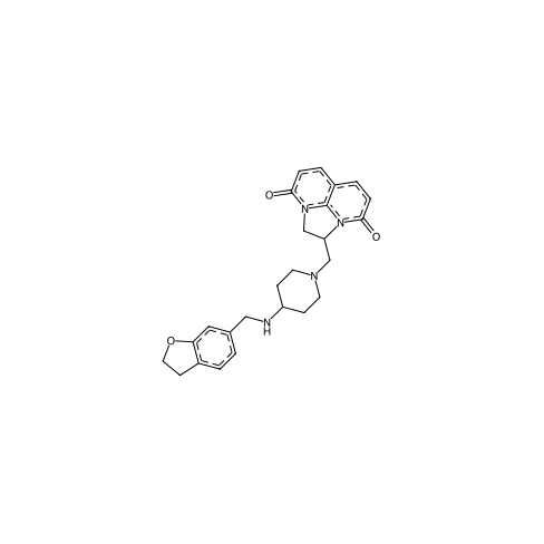 O=c1ccc2ccc(=O)n3c2n1CC3CN1CCC(NCc2ccc3c(c2)OCC3)CC1